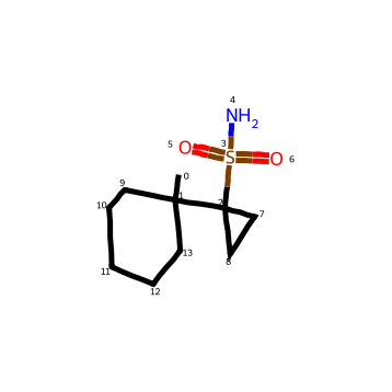 CC1(C2(S(N)(=O)=O)CC2)CCCCC1